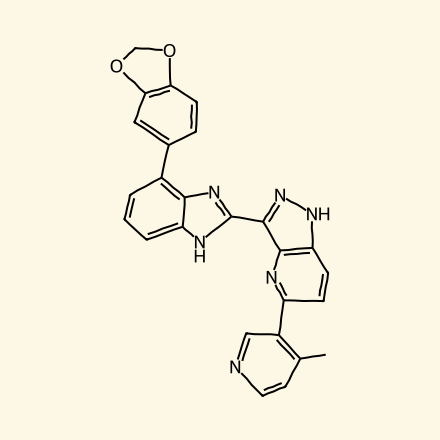 Cc1ccncc1-c1ccc2[nH]nc(-c3nc4c(-c5ccc6c(c5)OCO6)cccc4[nH]3)c2n1